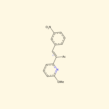 COc1cccc(/C(=C/c2cccc([N+](=O)[O-])c2)C(C)=O)n1